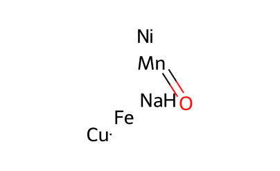 [Cu].[Fe].[NaH].[Ni].[O]=[Mn]